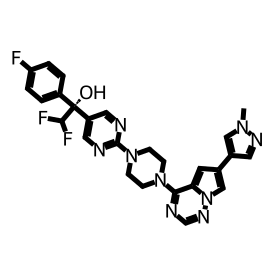 Cn1cc(-c2cc3c(N4CCN(c5ncc([C@](O)(c6ccc(F)cc6)C(F)F)cn5)CC4)ncnn3c2)cn1